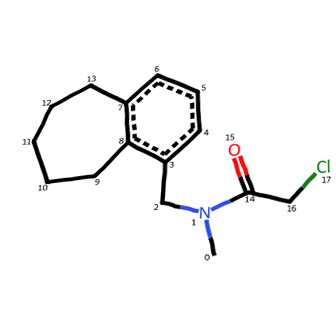 CN(Cc1cccc2c1CCCCC2)C(=O)CCl